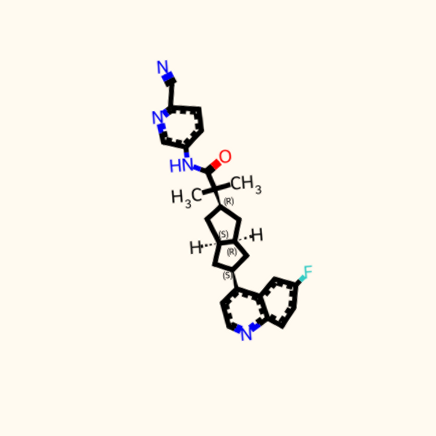 CC(C)(C(=O)Nc1ccc(C#N)nc1)[C@H]1C[C@H]2C[C@@H](c3ccnc4ccc(F)cc34)C[C@H]2C1